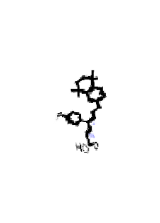 CC1(C)CCC(C)(C)c2cc(CC/C=C(/C=C/C(=O)O)c3ccc(F)cc3)ccc21